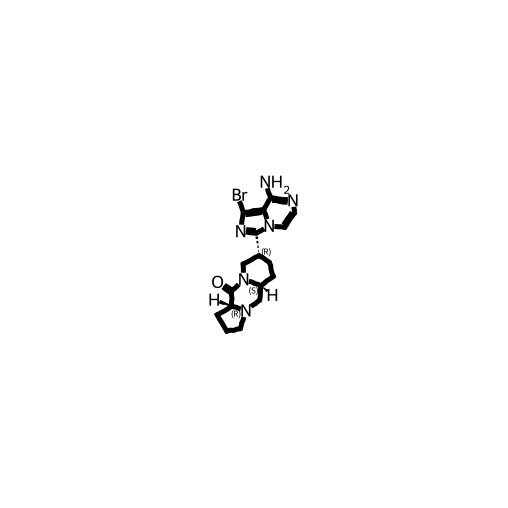 Nc1nccn2c([C@@H]3CC[C@H]4CN5CCC[C@@H]5C(=O)N4C3)nc(Br)c12